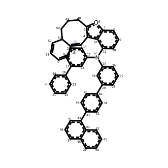 C1=C/C2=C/c3c(oc4cccc(N(c5cccc(-c6ccccc6)c5)c5cccc(-c6ccc(-c7cccc8ccccc78)cc6)c5)c34)CCCC2C=C1